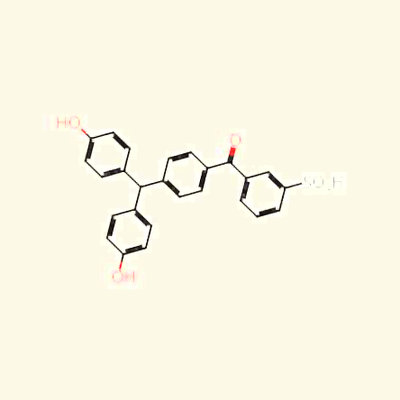 O=C(c1ccc(C(c2ccc(O)cc2)c2ccc(O)cc2)cc1)c1cccc(S(=O)(=O)O)c1